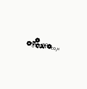 Cc1nc(Oc2ccc(C(=O)O)cc2)ncc1CN1CCC(N2C(=O)N(C3CCCCC3)C[C@H]2c2ccccc2)CC1